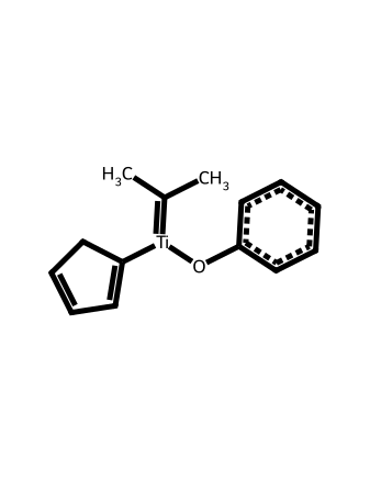 C[C](C)=[Ti]([O]c1ccccc1)[C]1=CC=CC1